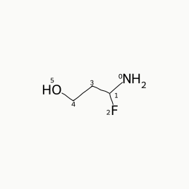 NC(F)CCO